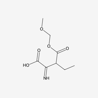 CCC(C(=N)C(=O)O)C(=O)OCOC